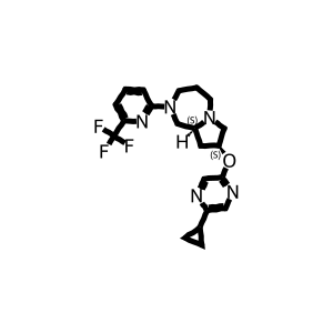 FC(F)(F)c1cccc(N2CCCN3C[C@@H](Oc4cnc(C5CC5)cn4)C[C@H]3C2)n1